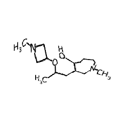 CC(CC1CN(C)CCC1O)OC1CN(C)C1